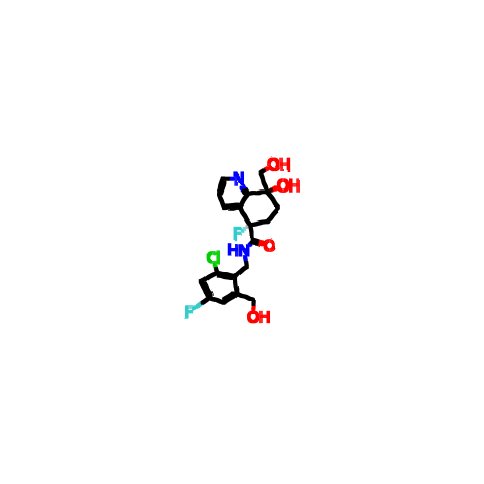 O=C(NCc1c(Cl)cc(F)cc1CO)[C@]1(F)CC[C@@](O)(CO)c2ncccc21